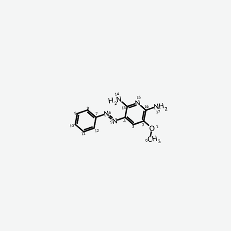 COc1cc(N=Nc2ccccc2)c(N)nc1N